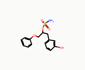 NS(=O)(=O)OC(COc1ccccc1)Cc1cccc(O)c1